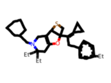 CCc1ccc(CC(=C2CC2)C23CSC2C2=C(CC(CC)(CC)N(CC4CCCCC4)C2)O3)cc1